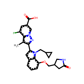 Cc1c(-c2cc3cccc(OCC4CNC(=O)C4)c3n2CC2CC2)nn2cc(C(=O)O)cc(F)c12